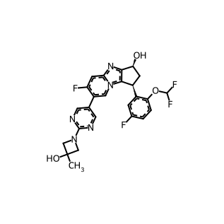 CC1(O)CN(c2ncc(-c3cn4c5c(nc4cc3F)[C@@H](O)C[C@H]5c3cc(F)ccc3OC(F)F)cn2)C1